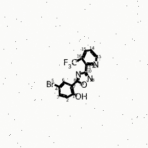 Oc1ccc(Br)cc1-c1nc(-c2ncccc2C(F)(F)F)no1